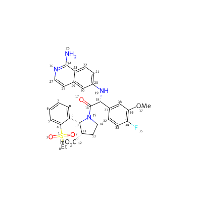 CCS(=O)(=O)c1ccccc1[C@H]1[C@@H](C(=O)O)CCN1C(=O)[C@H](Nc1ccc2c(N)nccc2c1)c1ccc(F)c(OC)c1